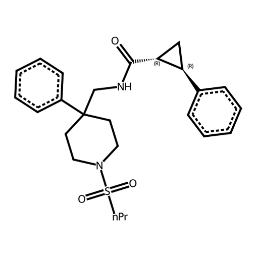 CCCS(=O)(=O)N1CCC(CNC(=O)[C@@H]2C[C@H]2c2ccccc2)(c2ccccc2)CC1